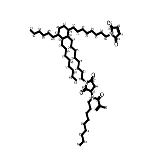 C=C(C)C(=O)N(CCCCCCCCC)C1CC(=O)N(CCCCCCCCC2C(CCCCCCCCN3C(=O)C=CC3=O)CCC(CCCCCC)C2CCCCCCCC)C1=O